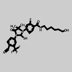 CC1(C)C(=O)N(c2ccc(C#N)c(C(F)(F)F)c2)C(S)N1c1ccc(C(=O)NCCCCCCO)c(F)c1